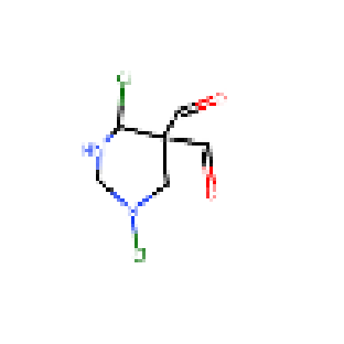 O=CC1(C=O)CN(Cl)CNC1Cl